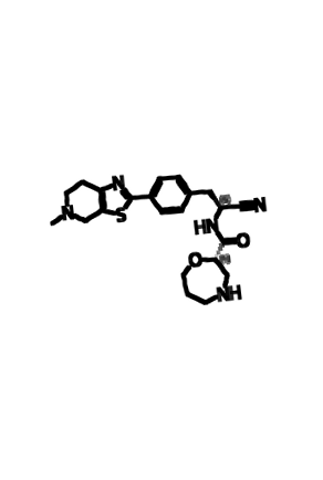 CN1CCc2nc(-c3ccc(C[C@@H](C#N)NC(=O)[C@@H]4CNCCCO4)cc3)sc2C1